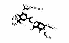 Br.CCOc1cc2c(c(F)c1OCC)C(=N)N(CC(=O)c1cc(NC(C)COC)c(OC)c(C(C)(C)C)c1)C2